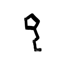 O=COCc1ccoc1